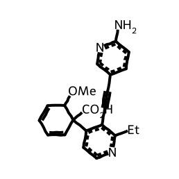 CCc1nccc(C2(C(=O)O)C=CC=CC2OC)c1C#Cc1ccc(N)nc1